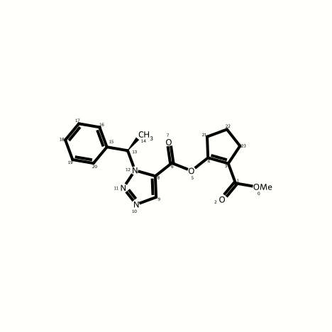 COC(=O)C1=C(OC(=O)c2cnnn2[C@H](C)c2ccccc2)CCC1